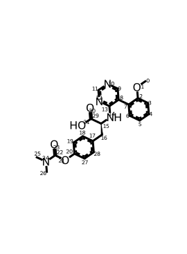 COc1ccccc1-c1cncnc1N[C@@H](Cc1ccc(OC(=O)N(C)C)cc1)C(=O)O